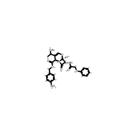 CC(=O)OC(C)C1=CS[C@H]2[C@H](NC(=O)COc3ccccc3)C(=O)N2C1C(=O)OCc1ccc([N+](=O)[O-])cc1